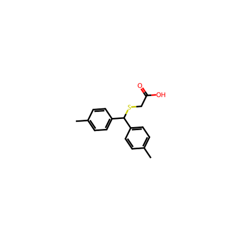 Cc1ccc(C(SCC(=O)O)c2ccc(C)cc2)cc1